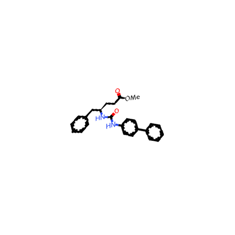 COC(=O)CC[C@H](Cc1ccccc1)NC(=O)Nc1ccc(-c2ccccc2)cc1